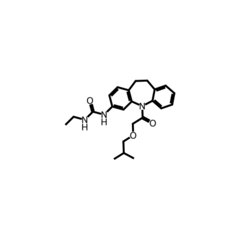 CCNC(=O)Nc1ccc2c(c1)N(C(=O)COCC(C)C)c1ccccc1CC2